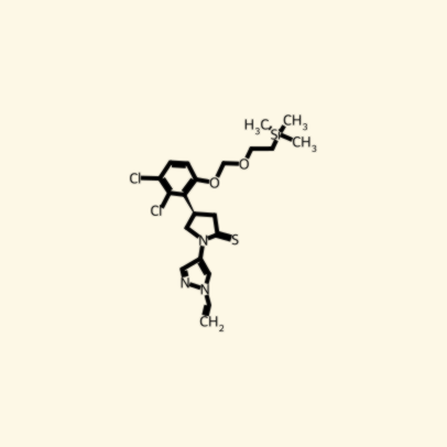 C=Cn1cc(N2C[C@@H](c3c(OCOCC[Si](C)(C)C)ccc(Cl)c3Cl)CC2=S)cn1